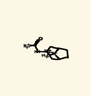 CC(=O)NC1CC2CCC(C1)[N+]2(C)C